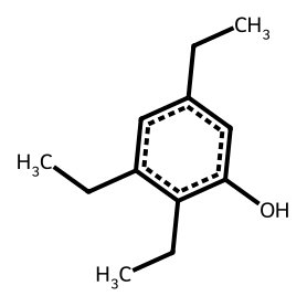 CCc1cc(O)c(CC)c(CC)c1